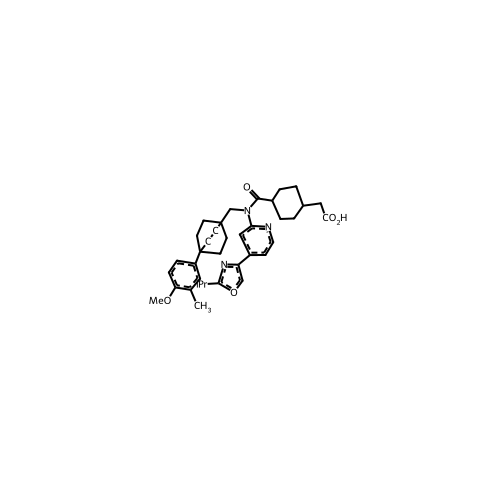 COc1ccc(C23CCC(CN(C(=O)C4CCC(CC(=O)O)CC4)c4cc(-c5coc(C(C)C)n5)ccn4)(CC2)CC3)cc1C